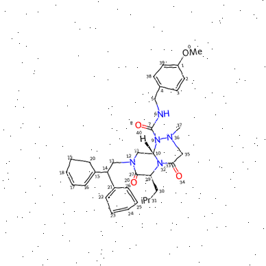 COc1ccc(CNC(=O)N2[C@H]3CN(CC(C4=CC=CCC4)c4ccccc4)C(=O)[C@H](CC(C)C)N3C(=O)CN2C)cc1